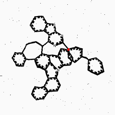 c1ccc(-c2ccc(-c3nc(C4CCc5ccccc5-c5cc6c7c8ccccc8ccc7n7c8ccccc8c(c54)c67)c4c(n3)sc3ccccc34)cc2)cc1